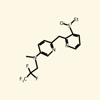 CC[S+]([O-])c1cccnc1Cc1ccc(N(C)CC(F)(F)C(F)(F)F)cn1